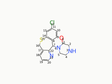 O=C1CNCCN1C1c2ccc(Cl)cc2SCc2cccnc21